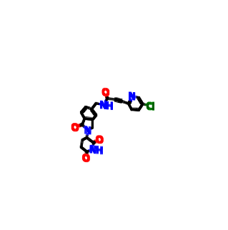 O=C(C#Cc1ccc(Cl)cn1)NCc1ccc2c(c1)CN(C1CCC(=O)NC1=O)C2=O